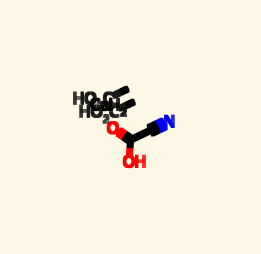 CC(=O)O.CC(=O)O.N#CC(=O)O.[CaH2]